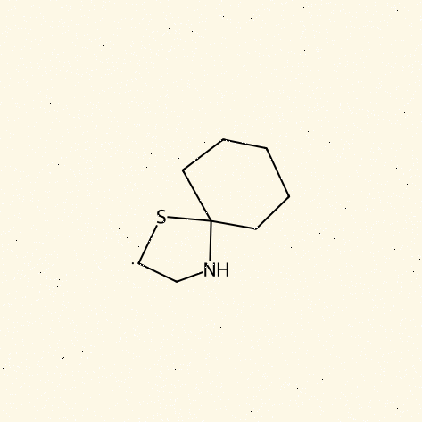 [CH]1CNC2(CCCCC2)S1